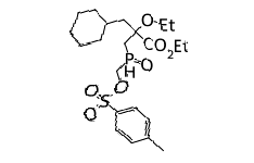 CCOC(=O)C(CC1CCCCC1)(C[PH](=O)COS(=O)(=O)c1ccc(C)cc1)OCC